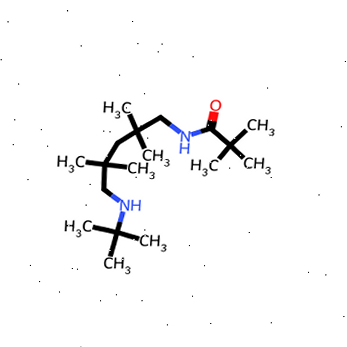 CC(C)(CNC(=O)C(C)(C)C)CC(C)(C)CNC(C)(C)C